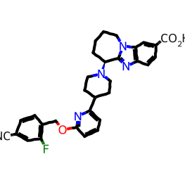 N#Cc1ccc(COc2cccc(C3CCN([C@H]4CCCCn5c4nc4ccc(C(=O)O)cc45)CC3)n2)c(F)c1